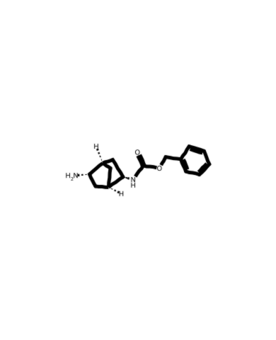 N[C@H]1C[C@H]2C[C@@H]1C[C@@H]2NC(=O)OCc1ccccc1